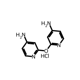 Cl.Nc1ccnc(Oc2cc(N)ccn2)c1